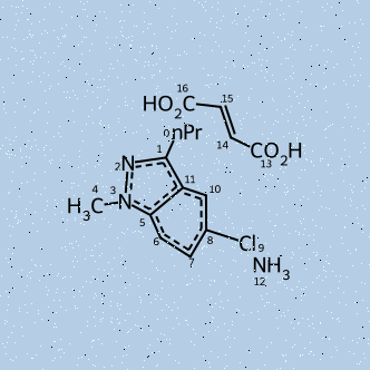 CCCc1nn(C)c2ccc(Cl)cc12.N.O=C(O)C=CC(=O)O